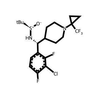 CC(C)(C)[S@@+]([O-])N[C@@H](c1ccc(F)c(Cl)c1F)C1CCN(C2(C(F)(F)F)CC2)CC1